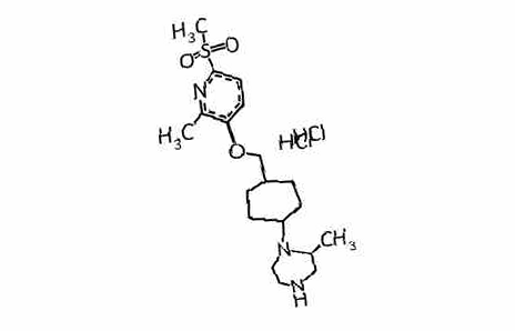 Cc1nc(S(C)(=O)=O)ccc1OCC1CCC(N2CCNC[C@@H]2C)CC1.Cl.Cl